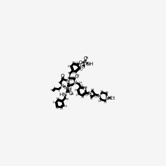 C=CCN1CC(=O)N2[C@@H](Cc3ccc(OP(=O)(O)O)cc3)C(=O)N(Cc3cccc(N4CC(N5CCN(CC)CC5)C4)n3)C[C@@H]2N1C(=O)NCc1ccccc1